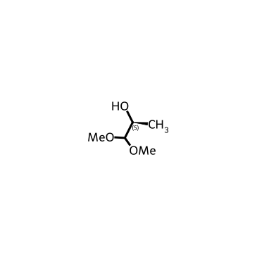 COC(OC)[C@H](C)O